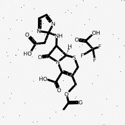 CC(=O)OCC1=C(C(=O)O)N2C(=O)C(NC3(CC(=O)O)N=CC=N3)[C@H]2SC1.O=C(O)C(F)(F)F